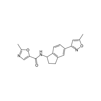 Cc1cc(-c2ccc3c(c2)CCC3NC(=O)c2cnc(C)o2)no1